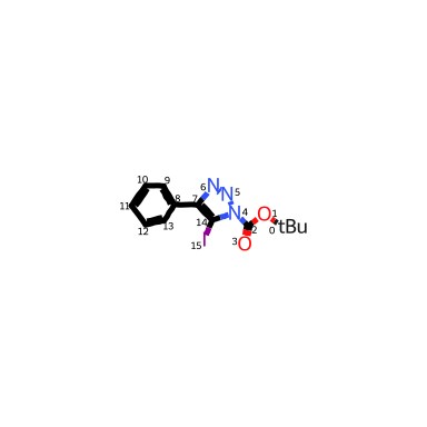 CC(C)(C)OC(=O)n1nnc(-c2ccccc2)c1I